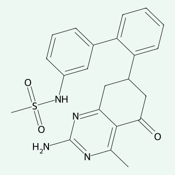 Cc1nc(N)nc2c1C(=O)CC(c1ccccc1-c1cccc(NS(C)(=O)=O)c1)C2